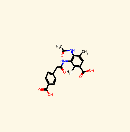 CC(=O)Nc1c(C)cc(C(=O)O)c(C)c1NC(=O)Cc1ccc(C(=O)O)cc1